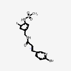 CC(C)(C)c1ccc(/C=C/C(=O)NCc2ccc(NS(C)(=O)=O)c(F)c2)cn1